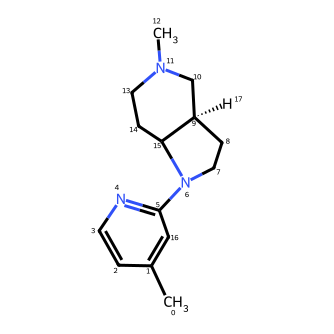 Cc1ccnc(N2CC[C@@H]3CN(C)CCC32)c1